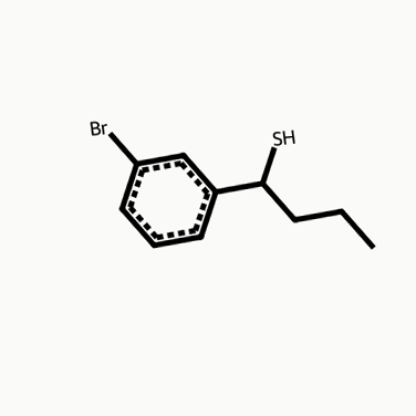 CCCC(S)c1cccc(Br)c1